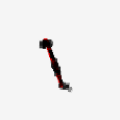 CCCCCCCCCCOCCOCCOCCOCCCCCCCCCCCCNC(=O)c1cccs1